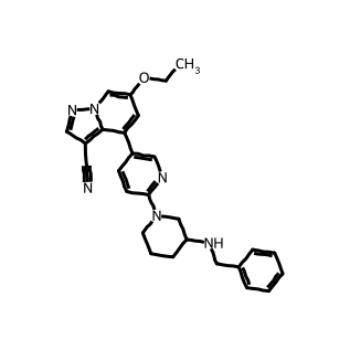 CCOc1cc(-c2ccc(N3CCCC(NCc4ccccc4)C3)nc2)c2c(C#N)cnn2c1